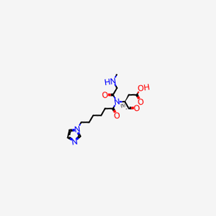 CNCC(=O)N(C(=O)CCCCCn1ccnc1)[C@H]([C]=O)CC(=O)O